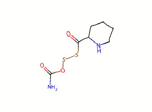 NC(=O)OSSC(=O)C1CCCCN1